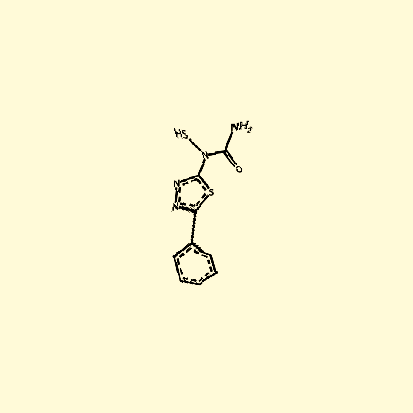 NC(=O)N(S)c1nnc(-c2ccccc2)s1